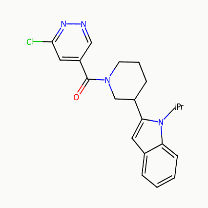 CC(C)n1c(C2CCCN(C(=O)c3cnnc(Cl)c3)C2)cc2ccccc21